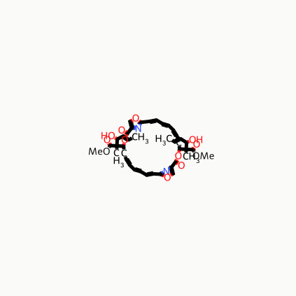 C/C=C/C(O)C(C)(C(=O)OC)C1C\C=C/C=C/C=C/c2nc(co2)C(=O)OC(C(C)(C(=O)OC)C(O)/C=C/C)C\C=C/C=C/C=C/c2nc(co2)C(=O)O1